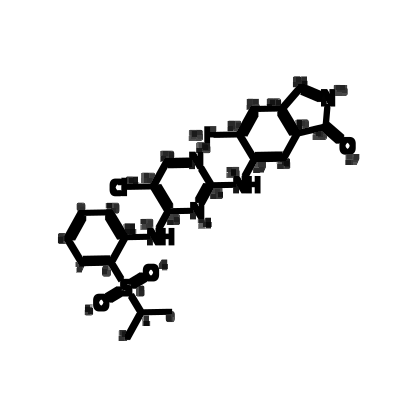 CC(C)S(=O)(=O)c1ccccc1Nc1nc(Nc2cc3c(cc2F)C=NC3=O)ncc1Cl